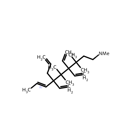 C=CCC(C=C)(/C=C/C)C(C)(C)C(C=C)(C=C)C(C)(C)CCNC